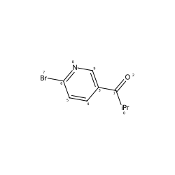 CC(C)C(=O)c1ccc(Br)nc1